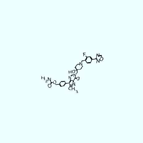 Cn1nc2c(=O)n(CC3(O)CCN(Cc4ccc(-c5ncon5)cc4F)CC3)cnc2c1-c1ccc(COC(N)=O)cc1